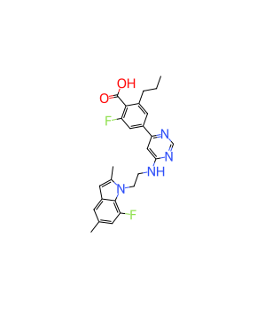 CCCc1cc(-c2cc(NCCn3c(C)cc4cc(C)cc(F)c43)ncn2)cc(F)c1C(=O)O